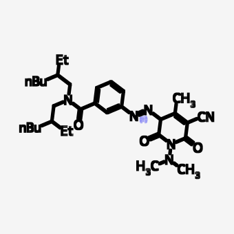 CCCCC(CC)CN(CC(CC)CCCC)C(=O)c1cccc(/N=N/C2C(=O)N(N(C)C)C(=O)C(C#N)=C2C)c1